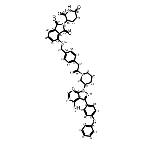 Nc1ncnc2c1c(-c1ccc(Oc3ccccc3)cc1)nn2C1CCCN(C(=O)Cc2ccc(CSc3cccc4c3C(=O)N(C3CCC(=O)NC3=O)C4=O)cc2)C1